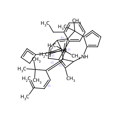 C=C(C)/C=C\C(=C1/C2C(=C)C3=C(\C=C/N1C1=C=CC1)C(C)(C)C1=C=CC=C1NC2/C(C)=C(C(C)(C)c1ccccc1CC)/C=C\3)C(C)(C)C